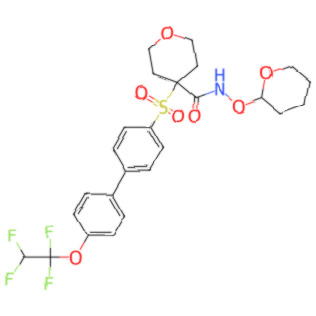 O=C(NOC1CCCCO1)C1(S(=O)(=O)c2ccc(-c3ccc(OC(F)(F)C(F)F)cc3)cc2)CCOCC1